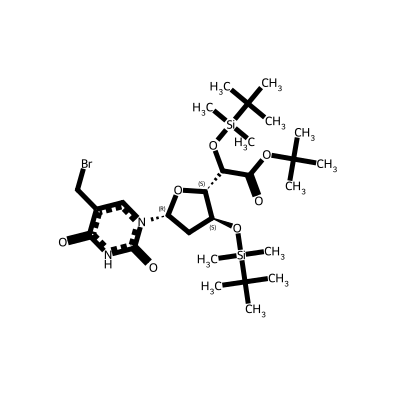 CC(C)(C)OC(=O)C(O[Si](C)(C)C(C)(C)C)[C@H]1O[C@@H](n2cc(CBr)c(=O)[nH]c2=O)C[C@@H]1O[Si](C)(C)C(C)(C)C